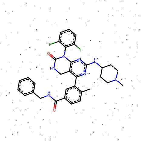 Cc1ccc(C(=O)NCc2ccccc2)cc1-c1nc(NC2CCN(C)CC2)nc2c1CNC(=O)N2c1c(F)cccc1F